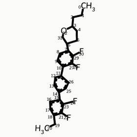 CCCC1CCC(c2ccc(-c3ccc(-c4ccc(CC)c(F)c4F)cc3)c(F)c2F)CO1